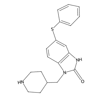 O=c1[nH]c2cc(Sc3ccccc3)ccc2n1CC1CCNCC1